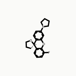 Fc1cccc2c1Oc1cc(N3CCCC3)ccc1[C@@]21CCCO1